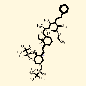 C=C(C(=O)OCC)C(CCc1ccccc1)C(O)C[C@@H](C)[C@H]1CC[C@H]2/C(=C/C=C3/C[C@@H](O[Si](C)(C)C(C)(C)C)C[C@H](O[Si](C)(C)C(C)(C)C)C3=C)CCC[C@]12C